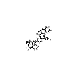 COC1C=CC(c2cc(C(F)(F)F)c3c(N)ncnn23)=CN1C1CCN(Cc2ccccc2)C1=O